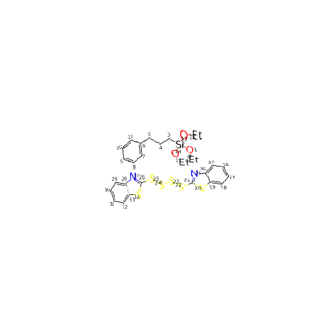 CCO[Si](CCCc1ccccc1)(OCC)OCC.c1ccc2sc(SSSSc3nc4ccccc4s3)nc2c1